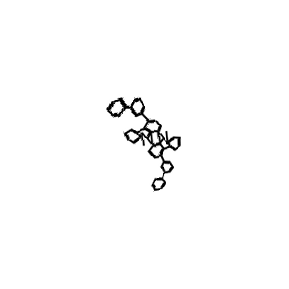 c1ccc(-c2cccc(-c3ccc4c5c3c3ccccc3n5c3ccc(-c5cccc(-c6ccccc6)c5)c5c6ccccc6n4c53)c2)cc1